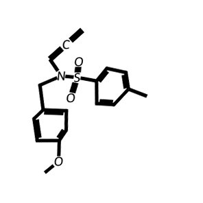 C=C=CN(Cc1ccc(OC)cc1)S(=O)(=O)c1ccc(C)cc1